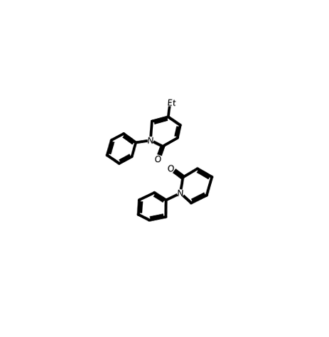 CCc1ccc(=O)n(-c2ccccc2)c1.O=c1ccccn1-c1ccccc1